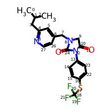 CC(C)Cc1cc(CN2CC(=O)N(c3ccc(SC(F)(F)F)cc3)C2=O)ccn1